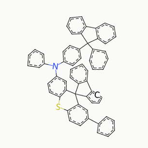 c1ccc(-c2ccc3c(c2)C2(c4cc(N(c5ccccc5)c5ccc(C6(c7ccccc7)c7ccccc7-c7ccccc76)cc5)ccc4S3)c3ccccc3-c3ccccc32)cc1